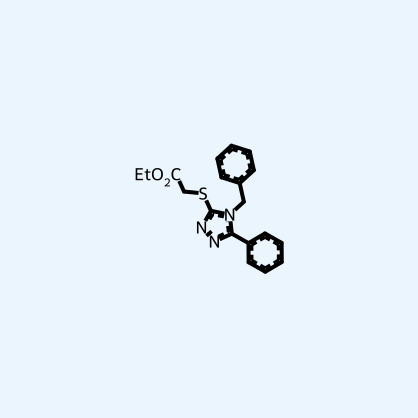 CCOC(=O)CSc1nnc(-c2ccccc2)n1Cc1ccccc1